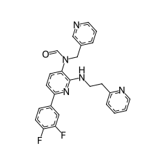 O=CN(Cc1cccnc1)c1ccc(-c2ccc(F)c(F)c2)nc1NCCc1ccccn1